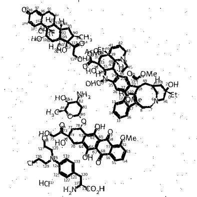 CC[C@]1(O)C[C@H]2C[N@](CCc3c([nH]c4ccccc34)[C@@](C(=O)OC)(c3cc4c(cc3OC)N(C=O)[C@H]3[C@@](O)(C(=O)OC)[C@H](OC(C)=O)[C@]5(CC)C=CCN6CC[C@]43[C@@H]65)C2)C1.COc1cccc2c1C(=O)c1c(O)c3c(c(O)c1C2=O)C[C@@](O)(C(=O)CO)C[C@@H]3O[C@H]1C[C@H](N)[C@H](O)[C@H](C)O1.C[C@@H]1C[C@H]2[C@@H]3CCC4=CC(=O)C=C[C@]4(C)[C@@]3(F)[C@@H](O)C[C@]2(C)[C@@]1(O)C(=O)CO.Cl.N[C@@H](Cc1ccc(N(CCCl)CCCl)cc1)C(=O)O